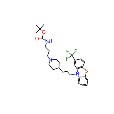 CC(C)(C)OC(=O)NCCCN1CCC(CCCN2c3ccccc3Sc3ccc(C(F)(F)F)cc32)CC1